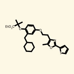 CCOC(=O)C(C)(C)Oc1ccc(OCCc2nc(-c3cccs3)oc2C)cc1CC1CCCCC1